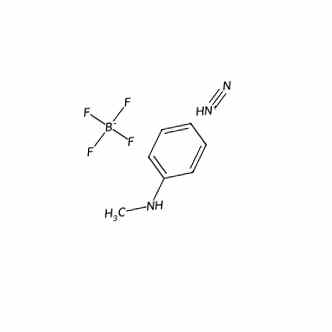 CNc1ccccc1.F[B-](F)(F)F.N#[NH+]